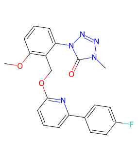 COc1cccc(-n2nnn(C)c2=O)c1COc1cccc(-c2ccc(F)cc2)n1